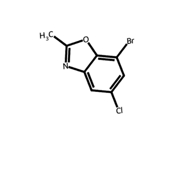 Cc1nc2cc(Cl)cc(Br)c2o1